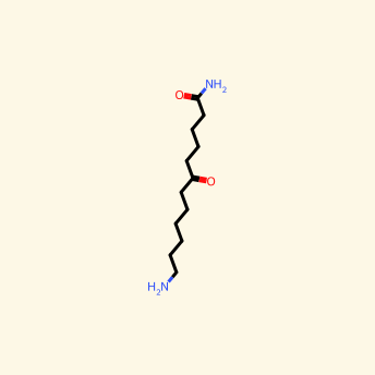 NCCCCCCC(=O)CCCCC(N)=O